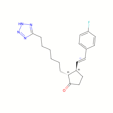 O=C1CC[C@H](/C=C/c2ccc(F)cc2)[C@H]1CCCCCCc1nn[nH]n1